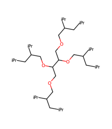 CC(C)CC(COCC(OCC(CC(C)C)C(C)C)C(COCC(CC(C)C)C(C)C)OCC(CC(C)C)C(C)C)C(C)C